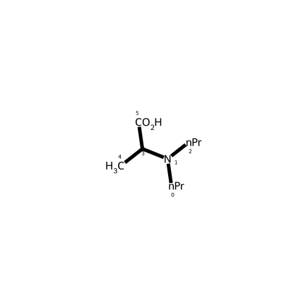 CCCN(CCC)C(C)C(=O)O